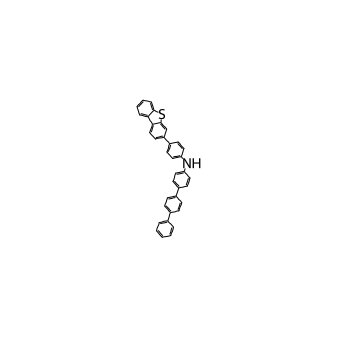 c1ccc(-c2ccc(-c3ccc(Nc4ccc(-c5ccc6c(c5)sc5ccccc56)cc4)cc3)cc2)cc1